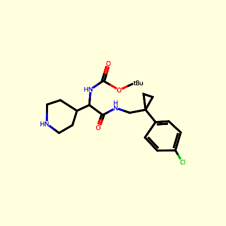 CC(C)(C)OC(=O)NC(C(=O)NCC1(c2ccc(Cl)cc2)CC1)C1CCNCC1